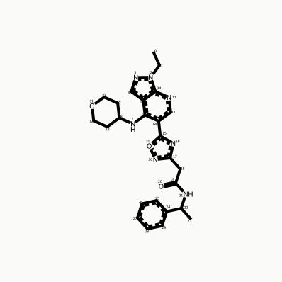 CCn1ncc2c(NC3CCOCC3)c(-c3nc(CC(=O)NC(C)c4ccccc4)no3)cnc21